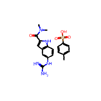 CN(C)C(=O)c1cc2cc(NC(=N)N)ccc2[nH]1.Cc1ccc(S(=O)(=O)O)cc1